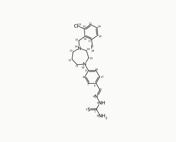 NC(=S)NN=Cc1ccc(N2CCCN(Cc3c(F)cccc3Cl)CC2)cc1